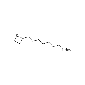 CCCCCCCCCCCCC[C]1CCO1